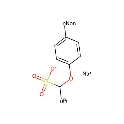 CCCCCCCCCc1ccc(OC(CCC)S(=O)(=O)[O-])cc1.[Na+]